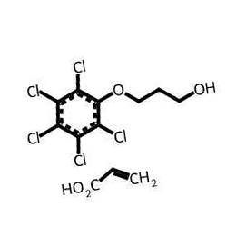 C=CC(=O)O.OCCCOc1c(Cl)c(Cl)c(Cl)c(Cl)c1Cl